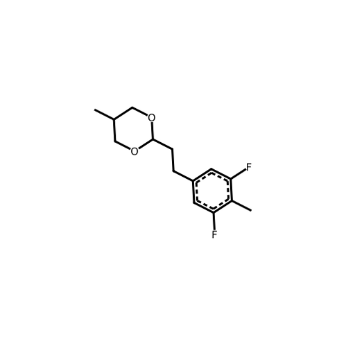 Cc1c(F)cc(CCC2OCC(C)CO2)cc1F